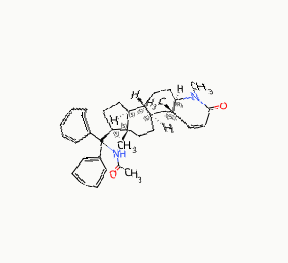 CC(=O)NC(c1ccccc1)(c1ccccc1)[C@H]1CC[C@H]2[C@@H]3CC[C@H]4N(C)C(=O)C=C[C@]4(C)[C@H]3CC[C@]12C